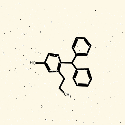 CCCc1cc(O)ccc1C(c1ccccc1)c1ccccc1